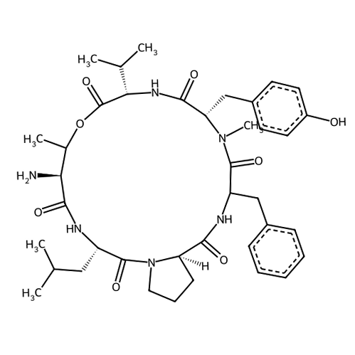 CC(C)C[C@@H]1NC(=O)[C@@H](N)C(C)OC(=O)[C@H](C(C)C)NC(=O)[C@H](Cc2ccc(O)cc2)N(C)C(=O)C(Cc2ccccc2)NC(=O)[C@H]2CCCN2C1=O